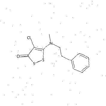 CN(CCc1ccccc1)c1ssc(=O)c1Cl